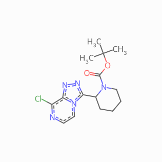 CC(C)(C)OC(=O)N1CCCCC1c1nnc2c(Cl)nccn12